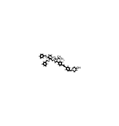 CC(C)N1C(=O)N(Cc2ncnc(OCc3ccccc3)c2OCc2ccccc2)CC1c1ccc(C#Cc2ccc(CN3CCC(O)CC3)cc2)cc1